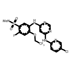 CNS(=O)(=O)c1cc(Nc2cc(Nc3ccc(Cl)cn3)ncn2)c(OCC(F)(F)F)cc1F